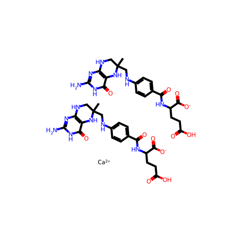 CC1(CNc2ccc(C(=O)NC(CCC(=O)O)C(=O)[O-])cc2)CNc2nc(N)[nH]c(=O)c2N1.CC1(CNc2ccc(C(=O)NC(CCC(=O)O)C(=O)[O-])cc2)CNc2nc(N)[nH]c(=O)c2N1.[Ca+2]